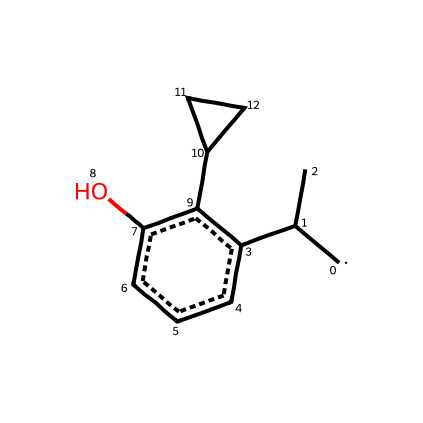 [CH2]C(C)c1cccc(O)c1C1CC1